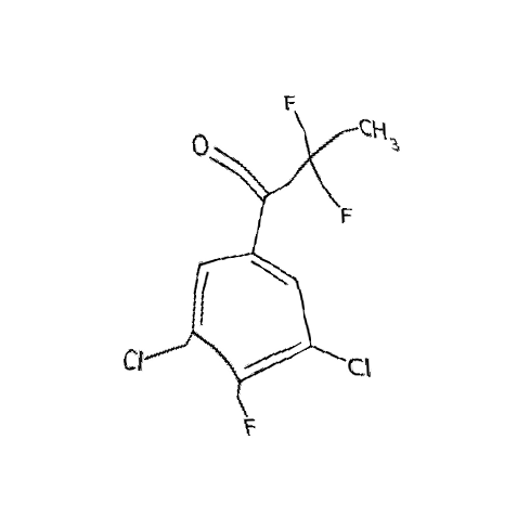 CC(F)(F)C(=O)c1cc(Cl)c(F)c(Cl)c1